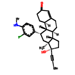 CC(C)Nc1ccc([C@H]2C[C@@]3(C)[C@@H](CC[C@@]3(O)C#CC(C)(C)C)[C@@H]3CCC4=CC(=O)CC[C@@H]4[C@H]32)cc1F